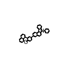 c1ccc(-n2c3ccccc3c3c4ccc(-c5ccc6c(c5)-c5cccc7cccc(c57)O6)cc4ccc32)cc1